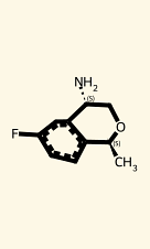 C[C@@H]1OC[C@@H](N)c2cc(F)ccc21